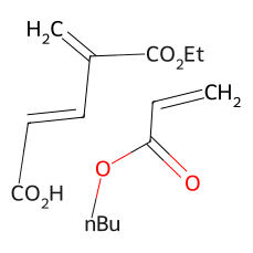 C=C(C=CC(=O)O)C(=O)OCC.C=CC(=O)OCCCC